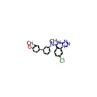 COc1ccc(-c2cccc(N(C)c3nc4nncn4c4cc(Cl)ccc34)c2)cc1